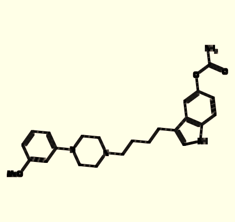 COc1cccc(N2CCN(CCCCc3c[nH]c4ccc(OC(N)=O)cc34)CC2)c1